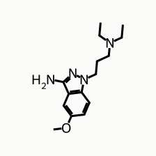 CCN(CC)CCCn1nc(N)c2cc(OC)ccc21